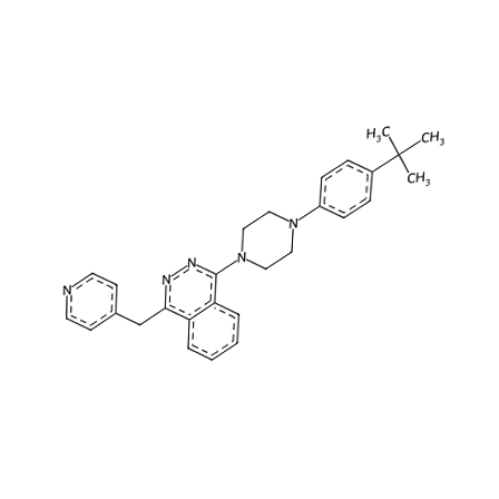 CC(C)(C)c1ccc(N2CCN(c3nnc(Cc4ccncc4)c4ccccc34)CC2)cc1